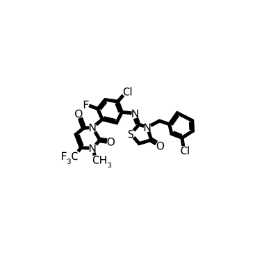 Cn1c(C(F)(F)F)cc(=O)n(-c2cc(N=C3SCC(=O)N3Cc3cccc(Cl)c3)c(Cl)cc2F)c1=O